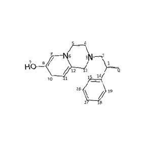 CC(CN1CCN2C=C(O)CC=C2C1)c1ccccc1